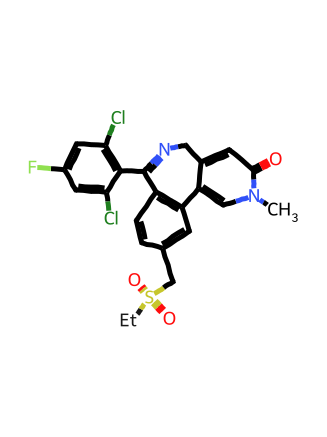 CCS(=O)(=O)Cc1ccc2c(c1)-c1cn(C)c(=O)cc1CN=C2c1c(Cl)cc(F)cc1Cl